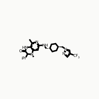 Cc1nc(NC[C@H]2CC[C@H](Cn3cc(C(F)(F)F)cn3)CC2)cc2c1NC(=O)C(C(C)C)N2C